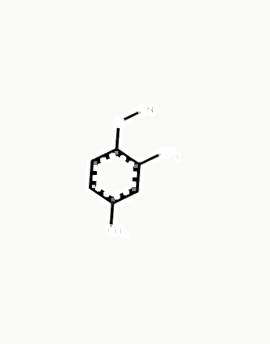 Cc1ccc(OC#N)c(C)c1